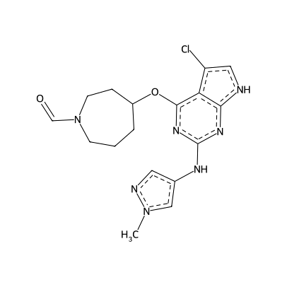 Cn1cc(Nc2nc(OC3CCCN(C=O)CC3)c3c(Cl)c[nH]c3n2)cn1